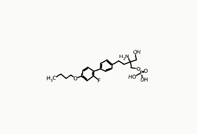 CCCCOc1ccc(-c2ccc(CCC(N)(CO)COP(=O)(O)O)cc2)c(F)c1